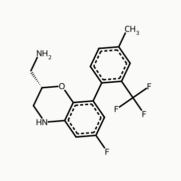 Cc1ccc(-c2cc(F)cc3c2O[C@@H](CN)CN3)c(C(F)(F)F)c1